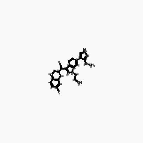 COc1n[nH]cc1-c1ccc2c(C(=O)C3COc4ccc(F)cc4C3)nn(CCO)c2c1